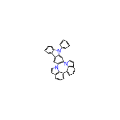 c1ccc(-n2c3ccccc3c3cc4c(cc32)n2ccc3cccc(c5cccc6ccn4c65)c32)cc1